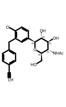 C#Cc1ccc(Cc2cc([C@@H]3O[C@H](CO)[C@@H](NC(C)=O)[C@H](O)[C@H]3O)ccc2Cl)cc1